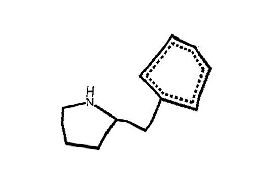 [c]1ccc(CC2CCCN2)cc1